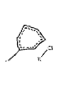 [CH2]c1ccccc1.[Cl][K]